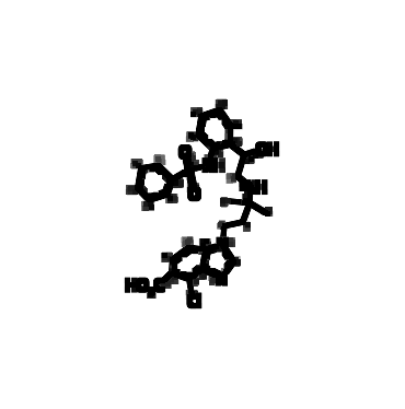 CC(C)(CCn1cnc2c(Cl)c(C(=O)O)ccc21)NCC(O)c1ccccc1NS(=O)(=O)c1ccccc1